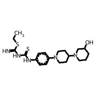 CCSC(=N)NC(=S)Nc1ccc(N2CCC(N3CCCC(O)C3)CC2)cc1